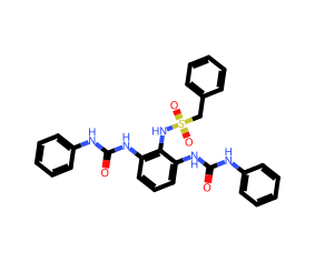 O=C(Nc1ccccc1)Nc1cccc(NC(=O)Nc2ccccc2)c1NS(=O)(=O)Cc1ccccc1